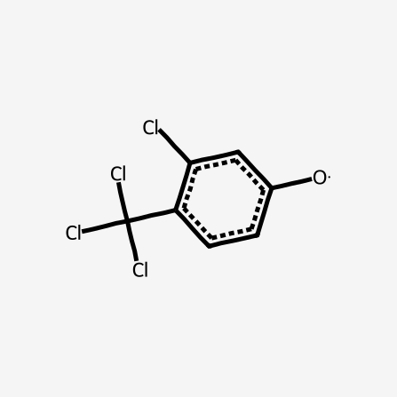 [O]c1ccc(C(Cl)(Cl)Cl)c(Cl)c1